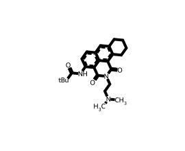 CN(C)CCN1C(=O)c2c(NC(=O)C(C)(C)C)ccc3cc4c(c(c23)C1=O)CCCC4